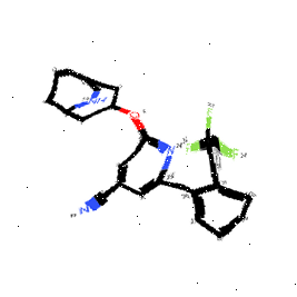 N#Cc1cc(OC2CC3CCC(C2)N3)nc(-c2ccccc2C(F)(F)F)c1